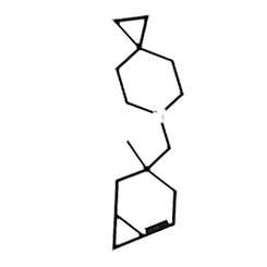 CC1(CN2CCC3(CC2)CC3)CC=C2CC2C1